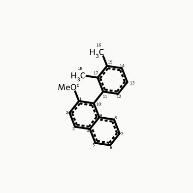 COc1ccc2ccccc2c1-c1cccc(C)c1C